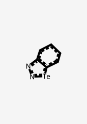 c1ccc2[te]nnc2c1